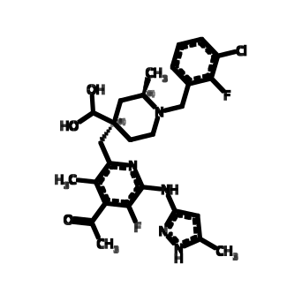 CC(=O)c1c(C)c(C[C@@]2(C(O)O)CCN(Cc3cccc(Cl)c3F)[C@H](C)C2)nc(Nc2cc(C)[nH]n2)c1F